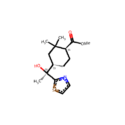 COC(=O)[C@H]1CC[C@H]([C@](C)(O)c2nccs2)CC1(C)C